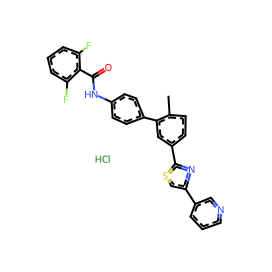 Cc1ccc(-c2nc(-c3cccnc3)cs2)cc1-c1ccc(NC(=O)c2c(F)cccc2F)cc1.Cl